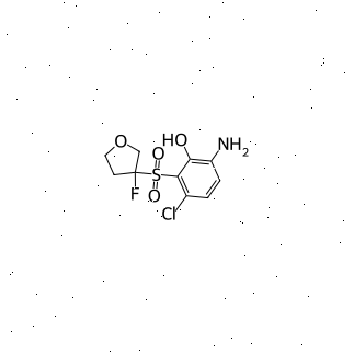 Nc1ccc(Cl)c(S(=O)(=O)C2(F)CCOC2)c1O